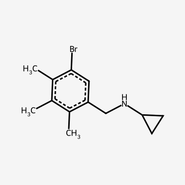 Cc1c(Br)cc(CNC2CC2)c(C)c1C